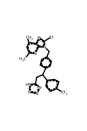 CCc1nc2c(C)cc(C)nc2n1Cc1ccc(C(Cc2nnn[nH]2)c2ccc(C(F)(F)F)cc2)cc1